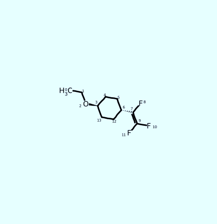 CCO[C@H]1CC[C@H](C(F)=C(F)F)CC1